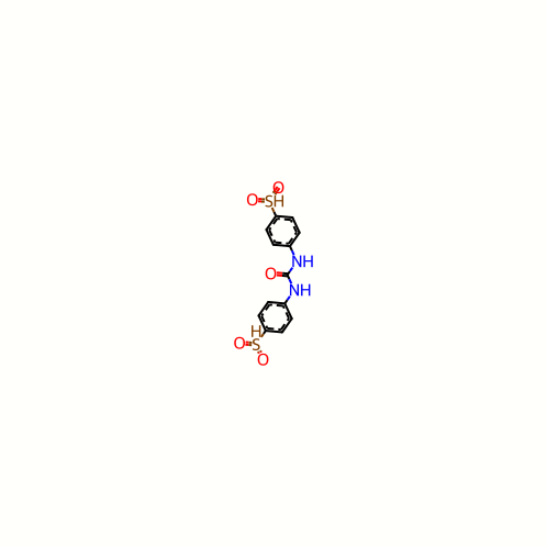 O=C(Nc1ccc([SH](=O)=O)cc1)Nc1ccc([SH](=O)=O)cc1